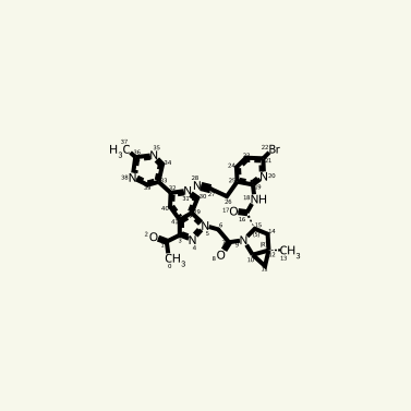 CC(=O)c1nn(CC(=O)N2C3C[C@]3(C)C[C@H]2C(=O)Nc2nc(Br)ccc2CC#N)c2cnc(-c3cnc(C)nc3)cc12